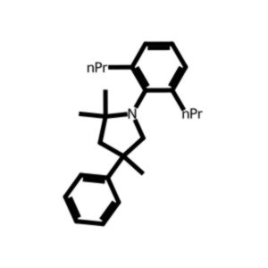 CCCc1cccc(CCC)c1N1CC(C)(c2ccccc2)CC1(C)C